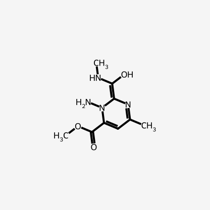 CN/C(O)=C1/N=C(C)C=C(C(=O)OC)N1N